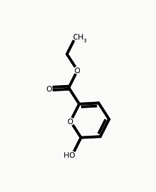 CCOC(=O)C1=CC=CC(O)O1